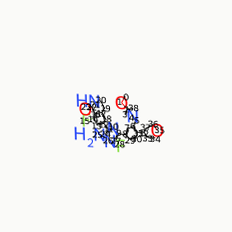 COC1CN(Cc2cc(-c3nc(-c4cc(F)c5c(c4)CCNC5=O)c(N)nc3F)ccc2C2CCOCC2)C1